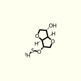 [3H]SO[C@@H]1CO[C@H]2[C@@H]1OC[C@@H]2O